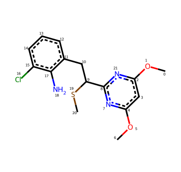 COc1cc(OC)nc(C(Cc2cccc(Cl)c2N)SC)n1